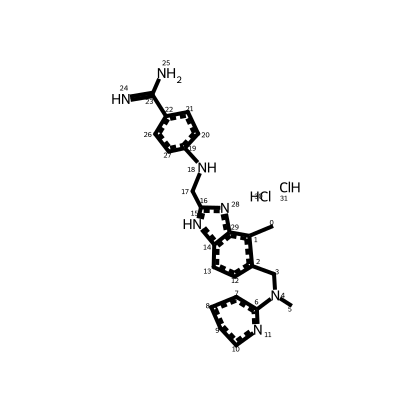 Cc1c(CN(C)c2ccccn2)ccc2[nH]c(CNc3ccc(C(=N)N)cc3)nc12.Cl.Cl